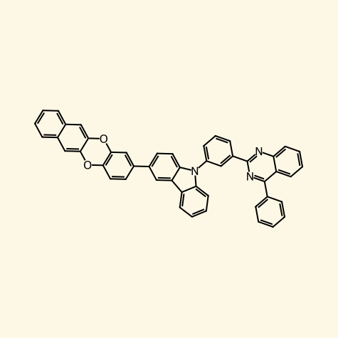 c1ccc(-c2nc(-c3cccc(-n4c5ccccc5c5cc(-c6ccc7c(c6)Oc6cc8ccccc8cc6O7)ccc54)c3)nc3ccccc23)cc1